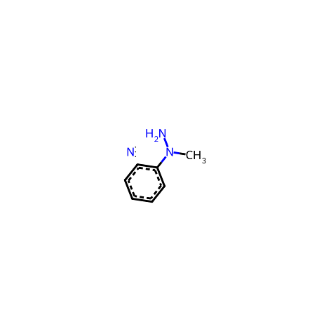 CN(N)c1ccccc1.[N]